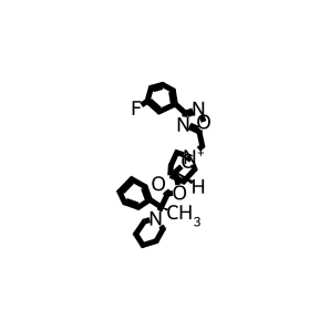 C[C@@](C(=O)O[C@H]1C[N+]2(Cc3nc(-c4cccc(F)c4)no3)CCC1CC2)(c1ccccc1)N1CCCCC1